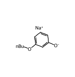 CCCCOc1cccc([O-])c1.[Na+]